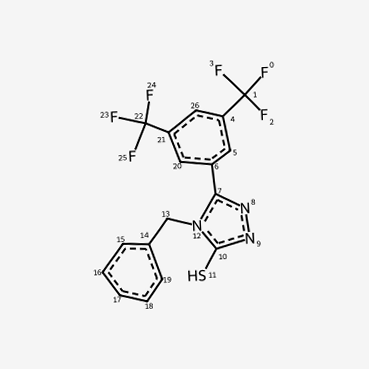 FC(F)(F)c1cc(-c2nnc(S)n2Cc2ccccc2)cc(C(F)(F)F)c1